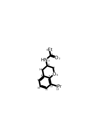 CCC(=O)NC1COc2c(cccc2C(C)C)C1